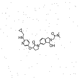 CN(C)C(=O)CN1Cc2ccc(N3CC[C@@H](Oc4ccc(NCC5CC5)nc4)C3=O)cc2C1O